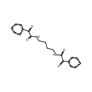 O=C(NCCCCNC(=O)C(=O)c1ccccc1)C(=O)c1ccccc1